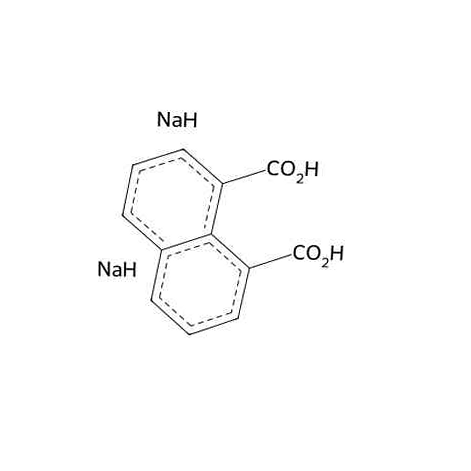 O=C(O)c1cccc2cccc(C(=O)O)c12.[NaH].[NaH]